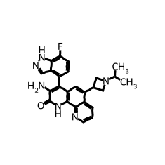 CC(C)N1CC(c2cc3c(-c4ccc(F)c5[nH]ncc45)c(N)c(=O)[nH]c3c3ncccc23)C1